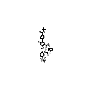 COc1cc(F)c(-c2ccc(C(=O)OC(C)(C)C)cc2)cc1C(=O)N[C@H]1[C@@H](C(=O)Nc2cccc(S(=O)(=O)C(F)(F)F)c2)[C@@H]2C=C[C@H]1C2